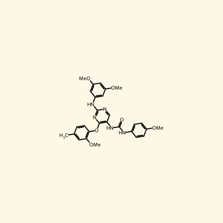 COc1ccc(NC(=O)Nc2cnc(Nc3cc(OC)cc(OC)c3)nc2Oc2ccc(C)cc2OC)cc1